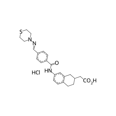 Cl.O=C(O)CC1CCc2ccc(NC(=O)c3ccc(C=NN4CCSCC4)cc3)cc2C1